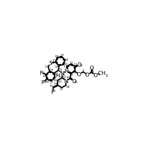 COC(=O)OCOc1c2n(ccc1=O)N([C@@H]1c3ccccc3SCc3c1ccc(F)c3F)[C@@H]1C/C(=C/F)CCN1C2=O